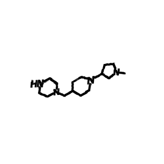 CN1CCC(N2CCC(CN3CCNCC3)CC2)C1